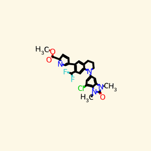 COC(=O)c1ccc(-c2cc3c(cc2C(F)F)N(c2cc(Cl)c4c(c2)n(C)c(=O)n4C)CCC3)cn1